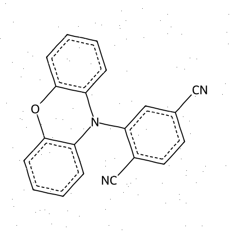 N#Cc1ccc(C#N)c(N2c3ccccc3Oc3ccccc32)c1